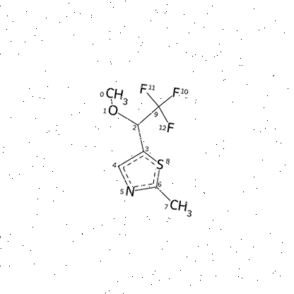 COC(c1cnc(C)s1)C(F)(F)F